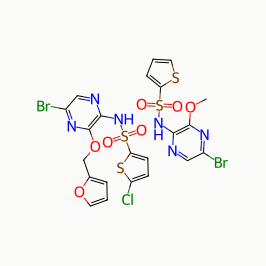 COc1nc(Br)cnc1NS(=O)(=O)c1cccs1.O=S(=O)(Nc1ncc(Br)nc1OCc1ccco1)c1ccc(Cl)s1